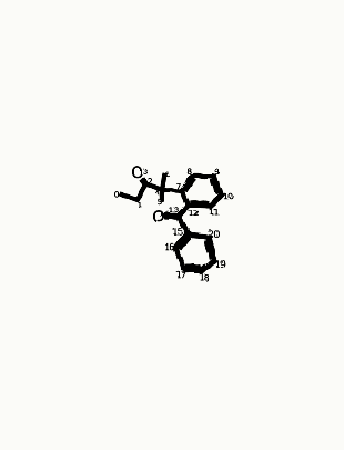 CCC(=O)C(C)(C)c1ccccc1C(=O)c1ccccc1